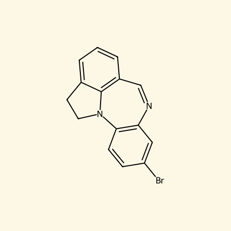 Brc1ccc2c(c1)N=Cc1cccc3c1N2CC3